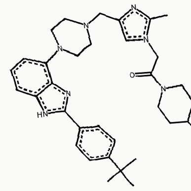 Cc1nc(CN2CCN(c3cccc4[nH]c(-c5ccc(C(C)(C)C)cc5)nc34)CC2)cn1CC(=O)N1CCC(C)CC1